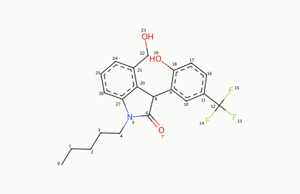 CCCCCN1C(=O)C(c2cc(C(F)(F)F)ccc2O)c2c(CO)cccc21